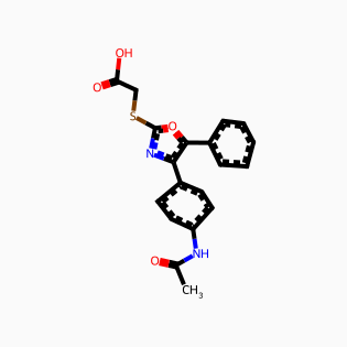 CC(=O)Nc1ccc(-c2nc(SCC(=O)O)oc2-c2ccccc2)cc1